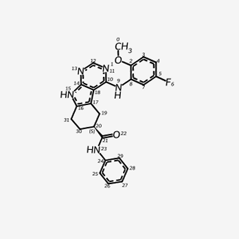 COc1ccc(F)cc1Nc1ncnc2[nH]c3c(c12)C[C@@H](C(=O)Nc1ccccc1)CC3